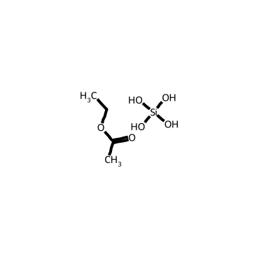 CCOC(C)=O.O[Si](O)(O)O